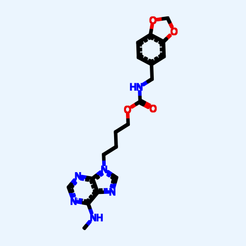 CNc1ncnc2c1ncn2CCCCOC(=O)NCc1ccc2c(c1)OCO2